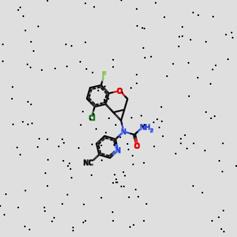 N#Cc1ccc(N(C(N)=O)C2C3COc4c(F)ccc(Cl)c4C32)nc1